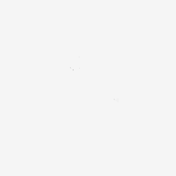 CC1=CC(C(C)(c2ccccc2)c2cc(C)cc(C)c2N)C(N)C(C)=C1